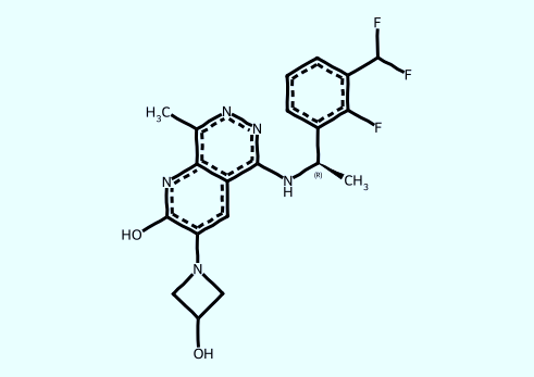 Cc1nnc(N[C@H](C)c2cccc(C(F)F)c2F)c2cc(N3CC(O)C3)c(O)nc12